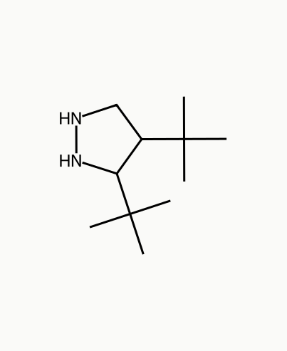 CC(C)(C)C1CNNC1C(C)(C)C